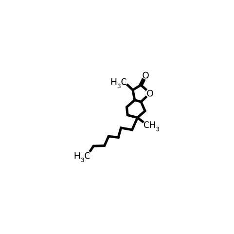 CCCCCCCC1(C)CCC2C(C1)OC(=O)C2C